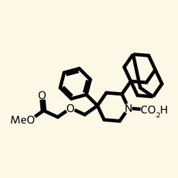 COC(=O)COCC1(c2ccccc2)CCN(C(=O)O)C(C23CC4CC(CC(C4)C2)C3)C1